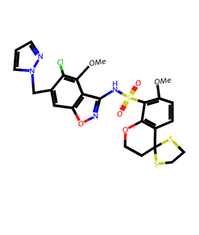 COc1ccc2c(c1S(=O)(=O)Nc1noc3cc(Cn4cccn4)c(Cl)c(OC)c13)OCCC21SCCS1